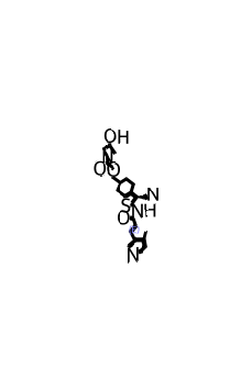 Cc1ccncc1/C=C/C(=O)Nc1sc2c(c1C#N)CCC(COC(=O)N1CC(O)C1)C2